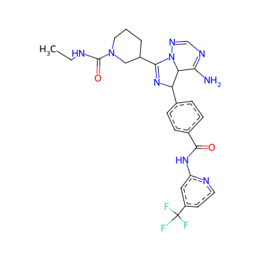 CCNC(=O)N1CCCC(C2=NC(c3ccc(C(=O)Nc4cc(C(F)(F)F)ccn4)cc3)C3C(N)=NC=NN23)C1